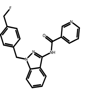 O=C(Nc1nn(Cc2ccc(CF)cc2)c2ccccc12)c1cccnc1